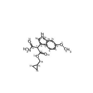 COc1ccc2c(C(C(N)=O)C(=O)OCC3CC3)c[nH]c2c1